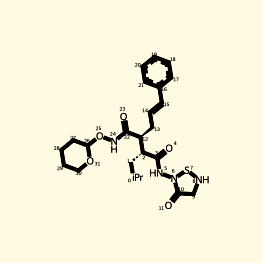 CC(C)C[C@@H](C(=O)NN1SNCC1=O)[C@H](CC=Cc1ccccc1)C(=O)NOC1CCCCO1